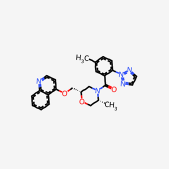 Cc1ccc(-n2nccn2)c(C(=O)N2C[C@@H](COc3ccnc4ccccc34)OC[C@H]2C)c1